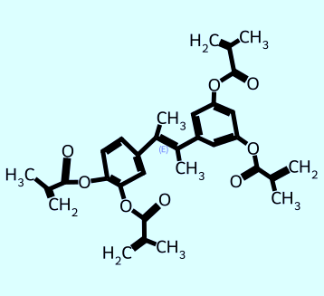 C=C(C)C(=O)Oc1cc(OC(=O)C(=C)C)cc(/C(C)=C(\C)c2ccc(OC(=O)C(=C)C)c(OC(=O)C(=C)C)c2)c1